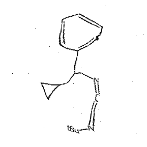 CC(C)(C)N=C=NC(c1ccccc1)C1CC1